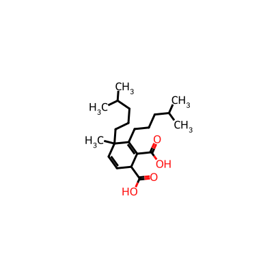 CC(C)CCCC1=C(C(=O)O)C(C(=O)O)C=CC1(C)CCCC(C)C